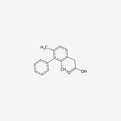 Cc1ccc(CC(=O)O)c(C)c1-c1ccccc1